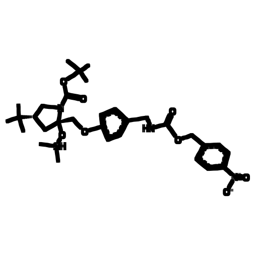 C[SiH](C)O[C@]1(COc2ccc(CNC(=O)OCc3ccc([N+](=O)[O-])cc3)cc2)C[C@H](C(C)(C)C)CN1C(=O)OC(C)(C)C